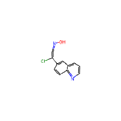 ON=C=C(Cl)c1ccc2ncccc2c1